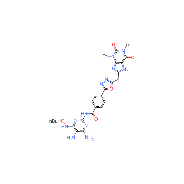 CCCCONc1nc(NC(=O)c2ccc(-c3nnc(Cc4nc5c(c(=O)n(CC)c(=O)n5CC)n4C)o3)cc2)nc(N)c1N